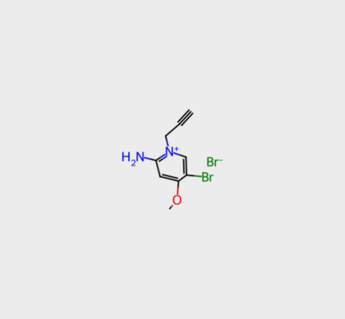 C#CC[n+]1cc(Br)c(OC)cc1N.[Br-]